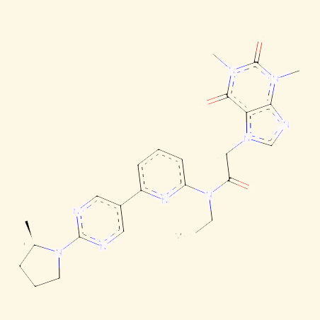 CSCN(C(=O)[C@H](C)n1cnc2c1c(=O)n(C)c(=O)n2C)c1cccc(-c2cnc(N3CCC[C@H]3C)nc2)n1